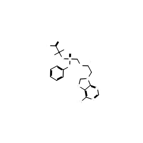 C[C@H](CN1CNc2c(N)ncnc21)OCP(=O)(NC(C)(C)C(O)=S)Oc1ccccc1